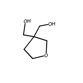 OCC1(CO)CCOC1